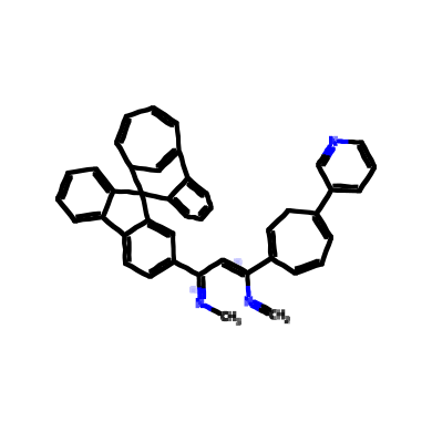 C=N/C(=C\C(=N/C)c1ccc2c(c1)C1(c3ccccc3C3=CC1C=CC=C3)c1ccccc1-2)C1=CCC(c2cccnc2)=CC=C1